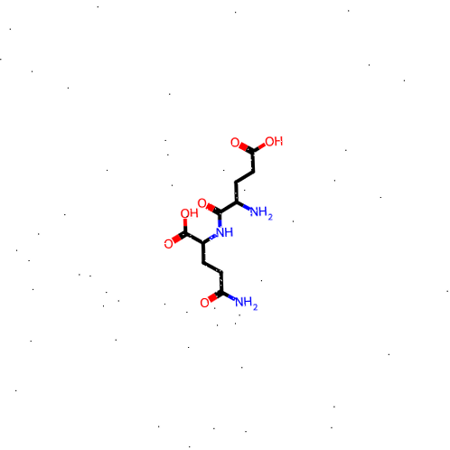 NC(=O)CCC(NC(=O)C(N)CCC(=O)O)C(=O)O